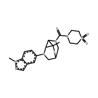 Cn1ncc2cc(N3CC4CN(C(=O)N5CCS(=O)(=O)CC5)C5C3C5(C)C4)ccc21